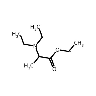 C[CH]OC(=O)C(C)N(CC)CC